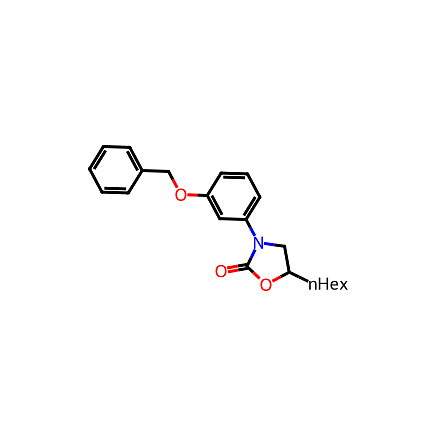 CCCCCCC1CN(c2cccc(OCc3ccccc3)c2)C(=O)O1